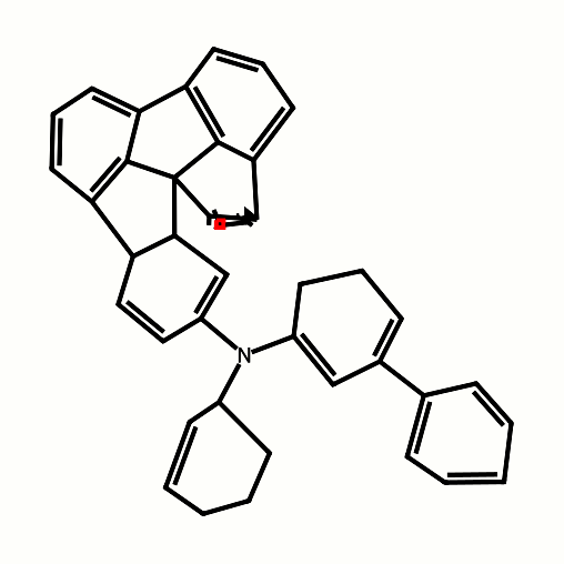 C1=CC(N(C2=CC3C(C=C2)c2cccc4c2C32c3ccccc3-c3cccc-4c32)C2=CC(c3ccccc3)=CCC2)CCC1